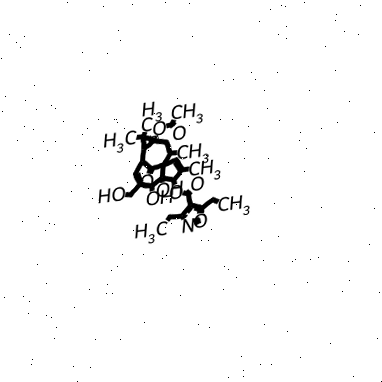 CCc1noc(CC)c1C(=O)OC1C(C)=CC23C(=O)C(C=C(CO)C(O)C12O)C1C(C)(C)[C@]1(OC(C)=O)CC3C